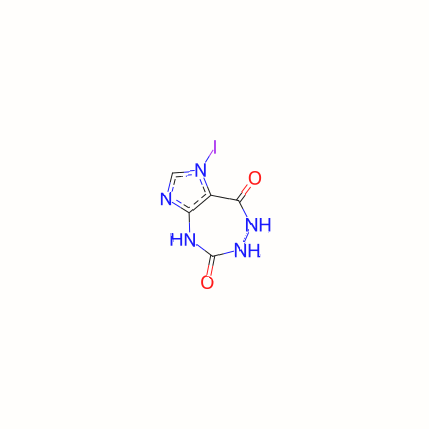 O=C1NNC(=O)c2c(ncn2I)N1